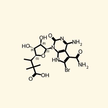 CC([C@@H]1O[C@H](n2c(=O)nc(N)c3c(C(N)=O)c(Br)[nH]c32)[C@H](O)[C@H]1O)C(C)(C)C(=O)O